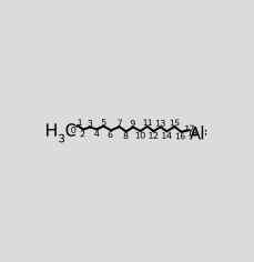 CCCCCCCCCCCCCCCCC[CH2][Al]